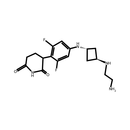 NCCN[C@H]1C[C@H](Nc2cc(F)c(C3CCC(=O)NC3=O)c(F)c2)C1